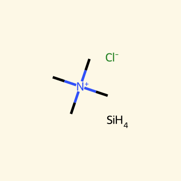 C[N+](C)(C)C.[Cl-].[SiH4]